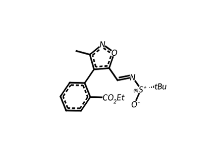 CCOC(=O)c1ccccc1-c1c(C)noc1C=N[S@@+]([O-])C(C)(C)C